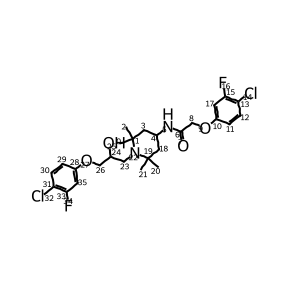 CC1(C)CC(NC(=O)COc2ccc(Cl)c(F)c2)CC(C)(C)N1CC(O)COc1ccc(Cl)c(F)c1